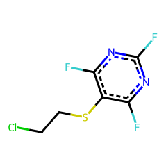 Fc1nc(F)c(SCCCl)c(F)n1